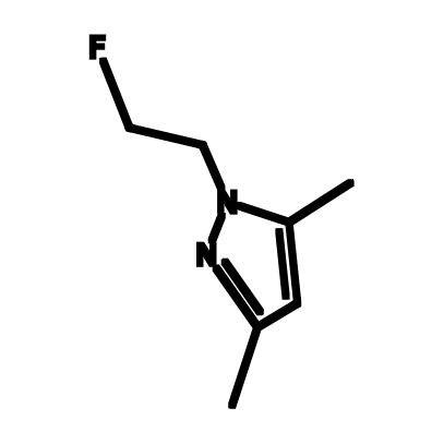 Cc1cc(C)n(CCF)n1